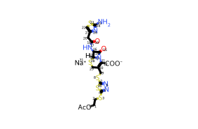 CC(=O)OCCSc1nnc(SCC2=C(C(=O)[O-])N3C(=O)C(NC(=O)Cc4csc(N)n4)[C@@H]3SC2)s1.[Na+]